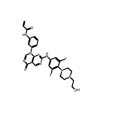 C=CC(=O)Nc1cccc(-n2cnc(=O)c3cnc(Nc4cc(F)c(N5CCN(CCO)CC5)c(F)c4)nc32)c1